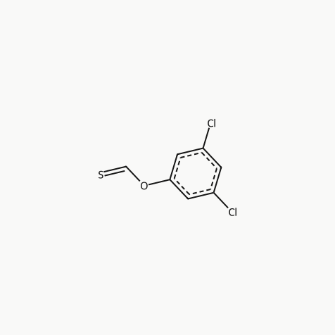 S=COc1cc(Cl)cc(Cl)c1